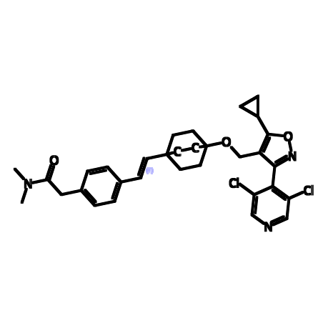 CN(C)C(=O)Cc1ccc(/C=C/C23CCC(OCc4c(-c5c(Cl)cncc5Cl)noc4C4CC4)(CC2)CC3)cc1